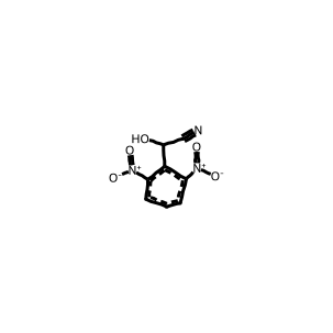 N#CC(O)c1c([N+](=O)[O-])cccc1[N+](=O)[O-]